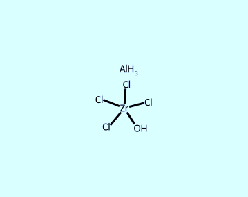 [AlH3].[OH][Zr]([Cl])([Cl])([Cl])[Cl]